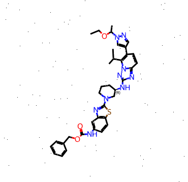 CCOC(C)n1cc(-c2ccc3nc(N[C@@H]4CCCN(c5nc6cc(NC(=O)OCc7ccccc7)ccc6s5)C4)nn3c2C(C)C)cn1